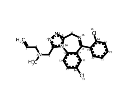 C=CCN(C)Cc1nnc2n1-c1ccc(Cl)cc1C(c1ccccc1Cl)=NC2